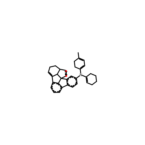 CC1=CC=C(N(C2=CCCCC2)c2ccc3c(c2)C24c5ccccc5C5CCC=C(c6cccc-3c62)C54)CC1